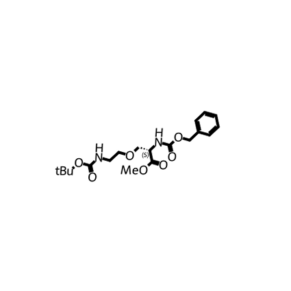 COC(=O)[C@H](COCCNC(=O)OC(C)(C)C)NC(=O)OCc1ccccc1